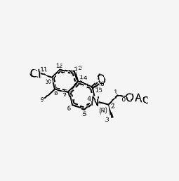 CC(=O)OC[C@@H](C)n1ccc2c(C)c(Cl)ccc2c1=O